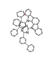 c1ccc(-c2cccc(-c3nc(-c4ccccc4)nc(-n4c5ccccc5c5ccc6c7ccccc7n(-c7ccc(-c8ccccc8)cc7-c7ccccc7)c6c54)n3)c2)cc1